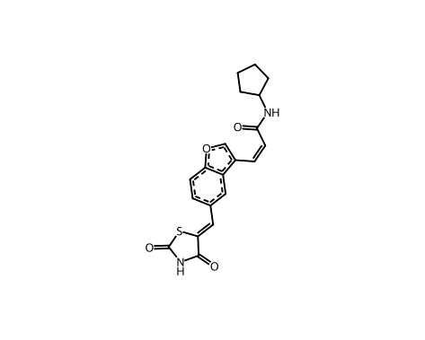 O=C(/C=C\c1coc2ccc(/C=C3\SC(=O)NC3=O)cc12)NC1CCCC1